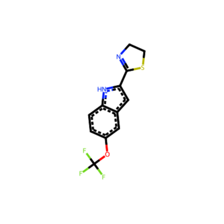 FC(F)(F)Oc1ccc2[nH]c(C3=NCCS3)cc2c1